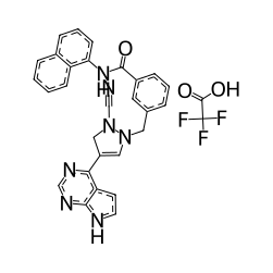 N#CN1CC(c2ncnc3[nH]ccc23)=CN1Cc1cccc(C(=O)Nc2cccc3ccccc23)c1.O=C(O)C(F)(F)F